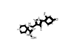 O=C(NO)C1(NCc2noc(-c3ccc(Cl)cc3F)c2F)CCSCC1